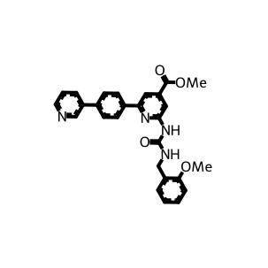 COC(=O)c1cc(NC(=O)NCc2ccccc2OC)nc(-c2ccc(-c3cccnc3)cc2)c1